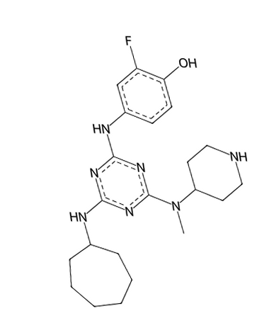 CN(c1nc(Nc2ccc(O)c(F)c2)nc(NC2CCCCCC2)n1)C1CCNCC1